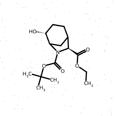 CCOC(=O)[C@@H]1C2CC[C@@H](O)C(C2)N1C(=O)OC(C)(C)C